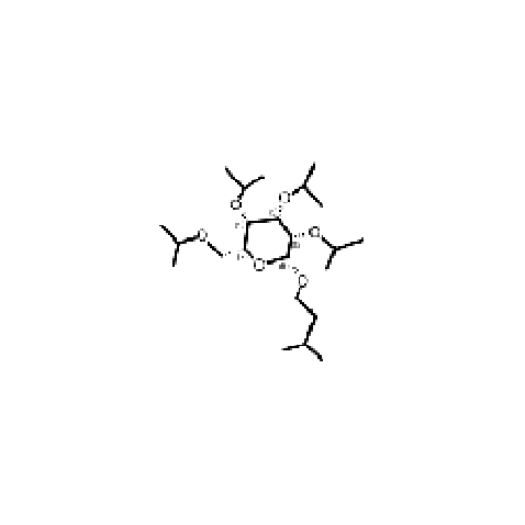 CC(C)CCO[C@@H]1O[C@H](COC(C)C)[C@H](OC(C)C)[C@H](OC(C)C)[C@@H]1OC(C)C